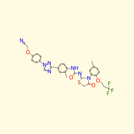 Cc1ccc(OCCC(F)(F)F)c(N2C(=O)CSC2=NC(=O)Nc2ccc(-c3ncn(-c4ccc(OCC#N)cc4)n3)cc2C)c1